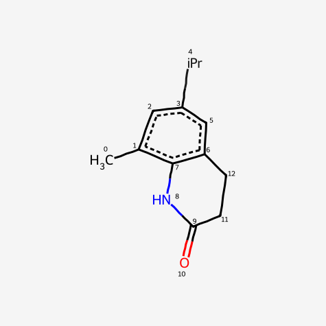 Cc1cc(C(C)C)cc2c1NC(=O)CC2